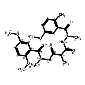 COc1ccc(C)c(C(=S)N(C)NC(=O)C(C)C(=O)NN(C)C(=S)c2cc(OC)ccc2OC)c1